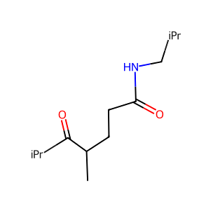 CC(C)CNC(=O)CCC(C)C(=O)C(C)C